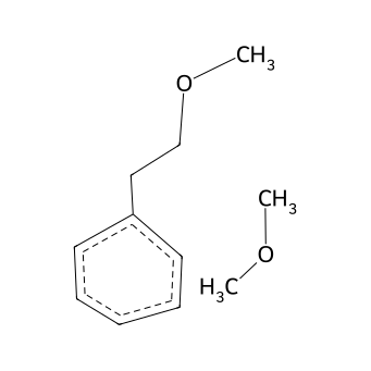 COC.COCCc1ccccc1